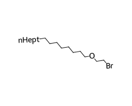 CCCCCCCCCCCCCCCOCCBr